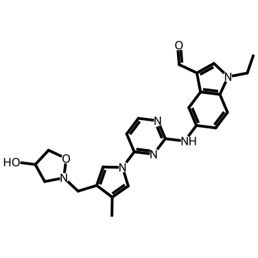 CCn1cc(C=O)c2cc(Nc3nccc(-n4cc(C)c(CN5CC(O)CO5)c4)n3)ccc21